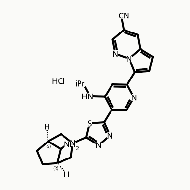 CC(C)Nc1cc(-c2ccc3cc(C#N)cnn23)ncc1-c1nnc(N2C[C@H]3CC[C@@H](C2)C3N)s1.Cl